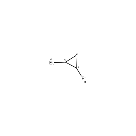 [CH2]CC1CC1CC